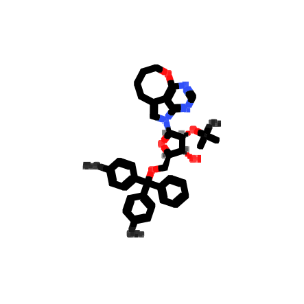 COc1ccc(C(OC[C@H]2O[C@@H](n3cc4c5c(ncnc53)OCCCC4)[C@H](O[Si](C)(C)C(C)(C)C)[C@@H]2O)(c2ccccc2)c2ccc(OC)cc2)cc1